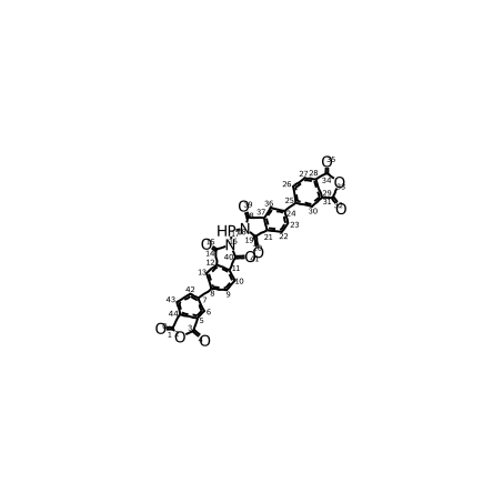 O=C1OC(=O)c2cc(-c3ccc4c(c3)C(=O)N(PN3C(=O)c5ccc(-c6ccc7c(c6)C(=O)OC7=O)cc5C3=O)C4=O)ccc21